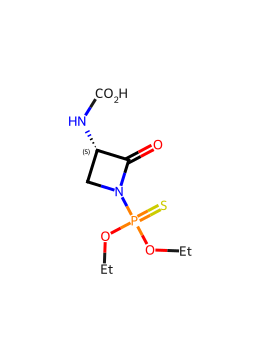 CCOP(=S)(OCC)N1C[C@H](NC(=O)O)C1=O